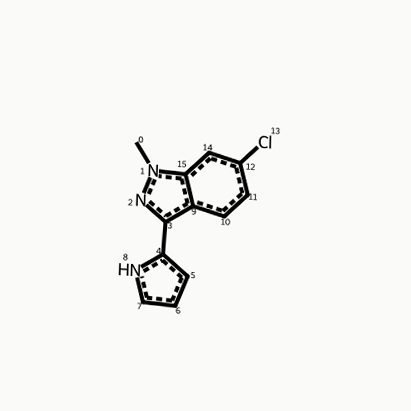 Cn1nc(-c2ccc[nH]2)c2ccc(Cl)cc21